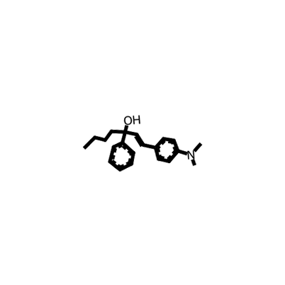 CCCCC(O)(C=Cc1ccc(N(C)C)cc1)c1ccccc1